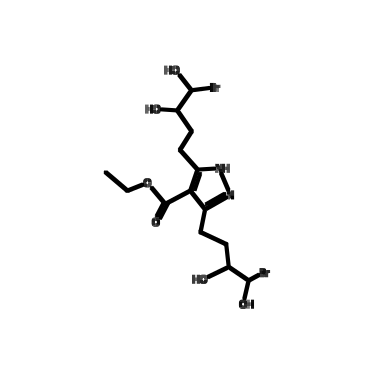 CCOC(=O)c1c(CCC(O)C(O)Br)n[nH]c1CCC(O)C(O)Br